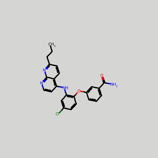 CCCc1ccc2c(Nc3cc(Cl)ccc3Oc3cccc(C(N)=O)c3)ccnc2n1